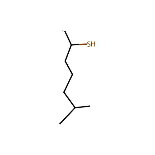 [CH2]C(S)CCCC(C)C